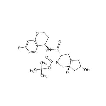 CC(C)(C)OC(=O)N1C[C@H]2C[C@@H](O)CN2C[C@H]1C(=O)N[C@@H]1CCOc2cc(F)ccc21